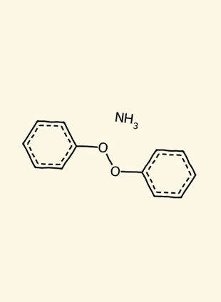 N.c1ccc(OOc2ccccc2)cc1